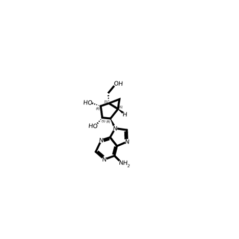 Nc1ncnc2c1ncn2[C@H]1[C@H](O)[C@H](O)[C@@]2(CO)C[C@H]12